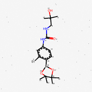 CCc1cc(NC(=O)NCC(C)(C)O)ccc1B1OC(C)(C)C(C)(C)O1